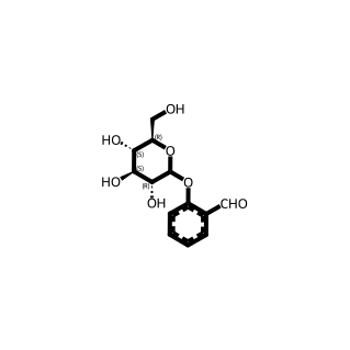 O=Cc1ccccc1OC1O[C@H](CO)[C@@H](O)[C@H](O)[C@H]1O